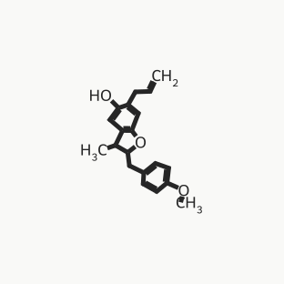 C=CCc1cc2c(cc1O)C(C)C(Cc1ccc(OC)cc1)O2